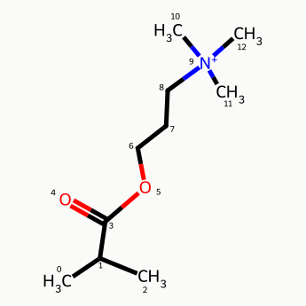 CC(C)C(=O)OCCC[N+](C)(C)C